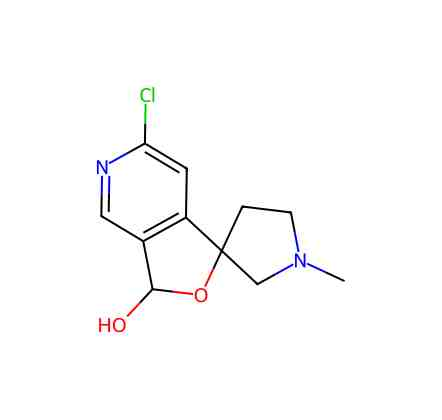 CN1CCC2(C1)OC(O)c1cnc(Cl)cc12